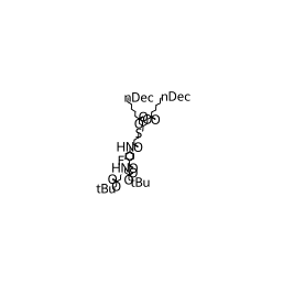 CCCCCCCCCCCCCCCC(=O)OCC(CSCCC(=O)Nc1ccc(C(=O)N[C@@H](CCC(=O)OC(C)(C)C)C(=O)OC(C)(C)C)c(F)c1)OC(=O)CCCCCCCCCCCCCCC